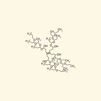 CCCOC(CC)OC(CC)OC(CC)OC(O)CCN(CCC(O)OC(CC)OC(CC)OC(CC)OCCC)N(CCC(O)OC(CC)OC(CC)OC(CC)OCCC)CCC(O)OC(CC)OC(CC)OC(CC)OCCC